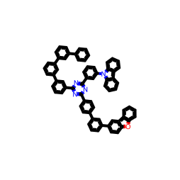 c1ccc(-c2cccc(-c3cccc(-c4cccc(-c5nc(-c6ccc(-c7cccc(-c8ccc9oc%10ccccc%10c9c8)c7)cc6)nc(-c6cccc(-n7c8ccccc8c8ccccc87)c6)n5)c4)c3)c2)cc1